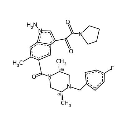 Cc1cc2c(cc1C(=O)N1C[C@H](C)N(Cc3ccc(F)cc3)C[C@H]1C)c(C(=O)C(=O)N1CCCC1)cn2N